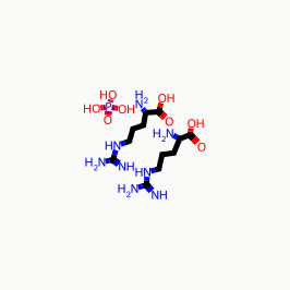 N=C(N)NCCCC(N)C(=O)O.N=C(N)NCCCC(N)C(=O)O.O=P(O)(O)O